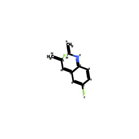 C=C/N=C1/C=CC(F)=C/C1=C/C(=C)F